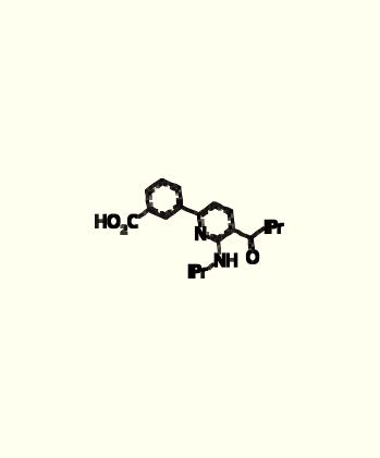 CC(C)Nc1nc(-c2cccc(C(=O)O)c2)ccc1C(=O)C(C)C